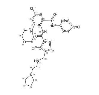 O=C(Nc1ccc(Cl)cn1)c1cc(Cl)cc(N2CCOCC2)c1NC(=O)c1scc(CNCCN2CCCC2)c1Cl